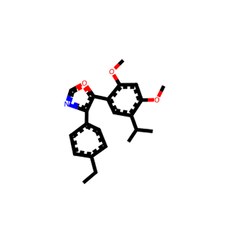 CCc1ccc(-c2ncoc2-c2cc(C(C)C)c(OC)cc2OC)cc1